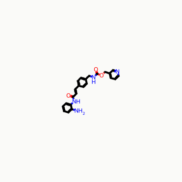 Nc1ccccc1NC(=O)C=Cc1ccc(CNC(=O)OCc2cccnc2)cc1